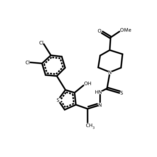 COC(=O)C1CCN(C(=S)NN=C(C)c2csc(-c3ccc(Cl)c(Cl)c3)c2O)CC1